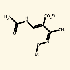 CCON=C(C)C(=CNC(N)=O)C(=O)OCC